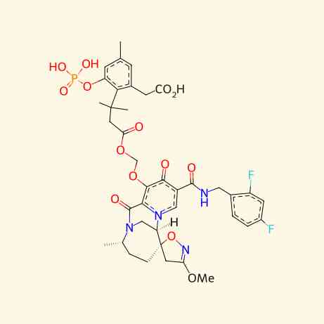 COC1=NO[C@@]2(CC[C@H](C)N3C[C@H]2n2cc(C(=O)NCc4ccc(F)cc4F)c(=O)c(OCOC(=O)CC(C)(C)c4c(CC(=O)O)cc(C)cc4OP(=O)(O)O)c2C3=O)C1